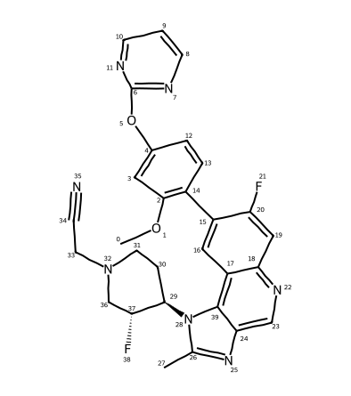 COc1cc(Oc2ncccn2)ccc1-c1cc2c(cc1F)ncc1nc(C)n([C@@H]3CCN(CC#N)C[C@H]3F)c12